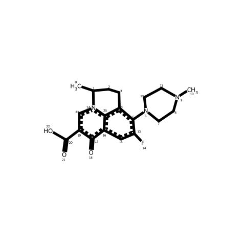 CC1CCc2c(N3CCN(C)CC3)c(F)cc3c(=O)c(C(=O)O)cn1c23